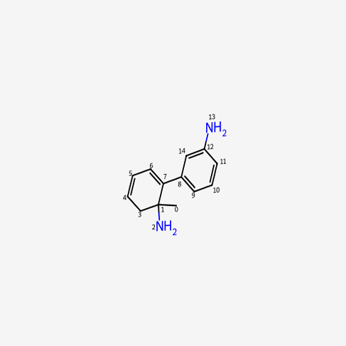 CC1(N)CC=CC=C1c1cccc(N)c1